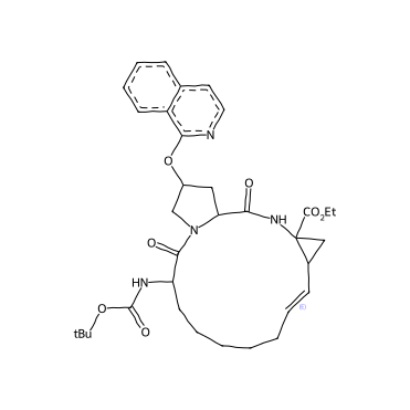 CCOC(=O)C12CC1/C=C/CCCCCC(NC(=O)OC(C)(C)C)C(=O)N1CC(Oc3nccc4ccccc34)CC1C(=O)N2